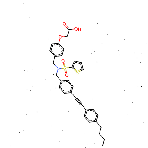 CCCCc1ccc(C#Cc2ccc(CN(Cc3ccc(OCC(=O)O)cc3)S(=O)(=O)c3cccs3)cc2)cc1